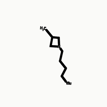 CC1CN(CCCCC(C)(C)C)C1